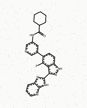 O=C(Nc1cncc(-c2ccc3[nH]nc(-c4nc5cccnc5[nH]4)c3c2F)c1)C1CCCCC1